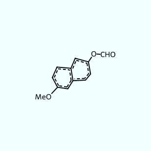 COc1ccc2cc(OC=O)ccc2c1